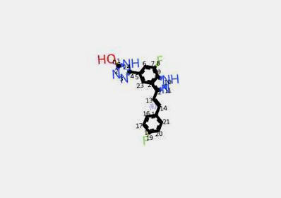 Oc1nnc(-c2cc(F)c3[nH]nc(/C=C/c4ccc(F)cc4)c3c2)[nH]1